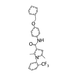 Cc1cc(C(=O)Nc2ccc(OCc3ccccc3)cc2)c(C)n1-c1ccccc1C(F)(F)F